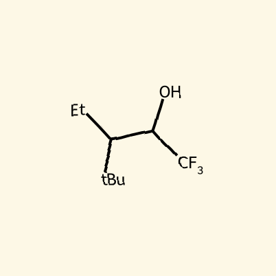 CCC(C(O)C(F)(F)F)C(C)(C)C